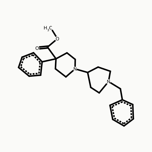 COC(=O)C1(c2ccccc2)CCN(C2CCN(Cc3ccccc3)CC2)CC1